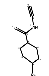 C#CNC(=O)C1CCC(N)CC1